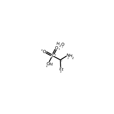 CCC(N)S(=O)(=O)O.O